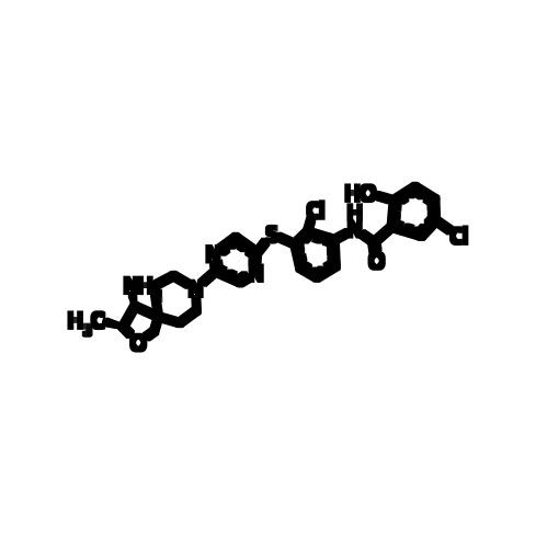 C[C@@H]1OCC2(CCN(c3cnc(Sc4cccc(NC(=O)c5cc(Cl)ccc5O)c4Cl)cn3)CC2)[C@@H]1N